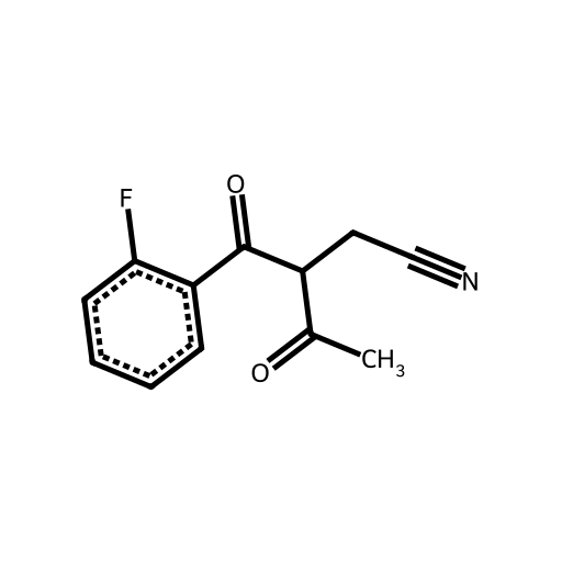 CC(=O)C(CC#N)C(=O)c1ccccc1F